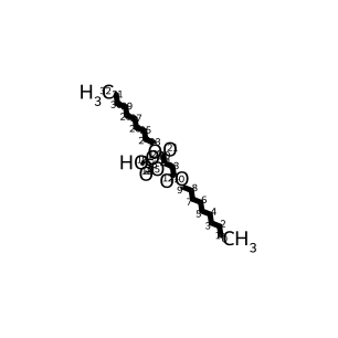 CCCCCCCCCCOC(=O)CC(OS(=O)(=O)O)C(=O)OCCCCCCCCCC